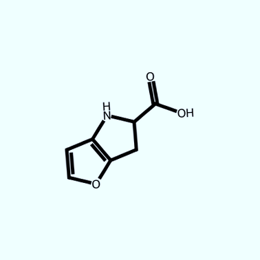 O=C(O)C1Cc2occc2N1